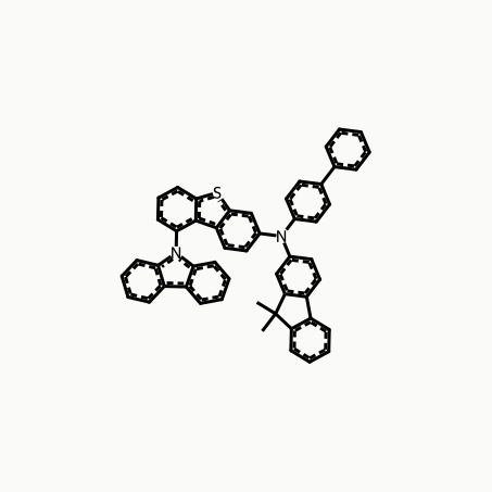 CC1(C)c2ccccc2-c2ccc(N(c3ccc(-c4ccccc4)cc3)c3ccc4c(c3)sc3cccc(-n5c6ccccc6c6ccccc65)c34)cc21